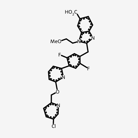 COCCn1c(Cc2cc(F)c(-c3cccc(OCc4ccc(Cl)cn4)n3)cc2F)nc2ccc(C(=O)O)cc21